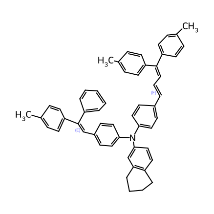 Cc1ccc(C(=C/C=C/c2ccc(N(c3ccc(/C=C(\c4ccccc4)c4ccc(C)cc4)cc3)c3ccc4c(c3)CCCC4)cc2)c2ccc(C)cc2)cc1